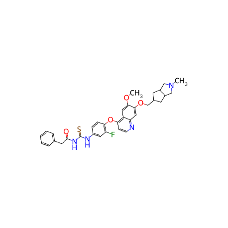 COc1cc2c(Oc3ccc(NC(=S)NC(=O)Cc4ccccc4)cc3F)ccnc2cc1OCC1CC2CN(C)CC2C1